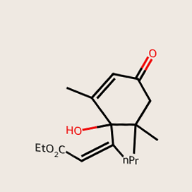 CCC/C(=C/C(=O)OCC)C1(O)C(C)=CC(=O)CC1(C)C